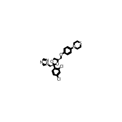 Clc1ccc([C@]2(Cn3cncn3)OC[C@@H](COc3ccc(N4CCSCC4)cc3)O2)c(Cl)c1